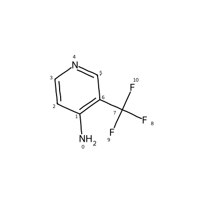 Nc1ccn[c]c1C(F)(F)F